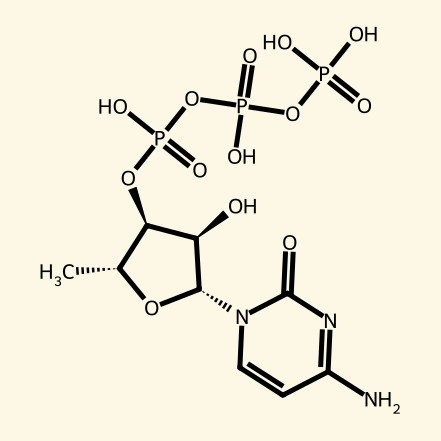 C[C@H]1O[C@@H](n2ccc(N)nc2=O)[C@H](O)[C@@H]1OP(=O)(O)OP(=O)(O)OP(=O)(O)O